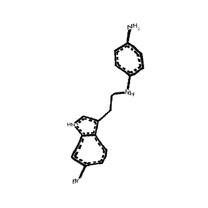 Nc1ccc(NCCc2c[nH]c3cc(Br)ccc23)cc1